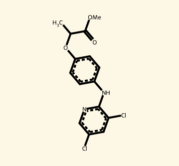 COC(=O)C(C)Oc1ccc(Nc2ncc(Cl)cc2Cl)cc1